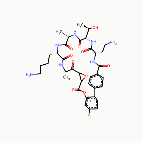 COC(=O)C1OC1C(=O)[C@H](C)NC(=O)[C@H](CCCCN)NC(=O)[C@H](C)NC(=O)[C@@H](NC(=O)[C@H](CCN)NC(=O)c1ccc(-c2ccc(Cl)cc2)cc1)[C@@H](C)O